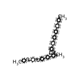 Cc1ccc(OCC2CCC(COc3ccc(-c4ccc(-c5ccc(C)c(Cc6cc(C7CCC(c8ccc(-c9ccc(C%10CCC(c%11ccc(C)cc%11)CC%10)cc9)cc8)CC7)ccc6C)c5)cc4)cc3)CC2)cc1